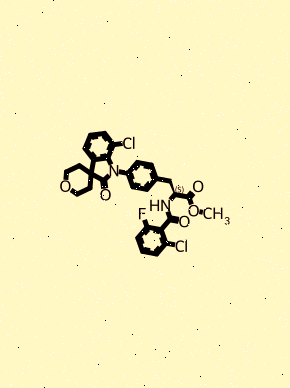 COC(=O)[C@H](Cc1ccc(N2C(=O)C3(CCOCC3)c3cccc(Cl)c32)cc1)NC(=O)c1c(F)cccc1Cl